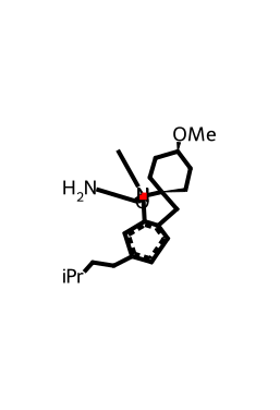 CO[C@H]1CC[C@@]2(CC1)Cc1ccc(CCC(C)C)cc1C21N=C(N)N(C)O1